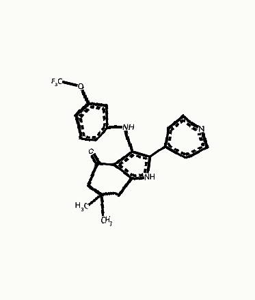 CC1(C)CC(=O)c2c([nH]c(-c3ccncc3)c2Nc2cccc(OC(F)(F)F)c2)C1